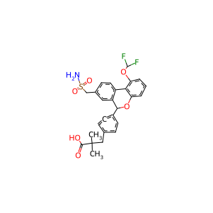 CC(C)(Cc1ccc(C2Oc3cccc(OC(F)F)c3-c3ccc(CS(N)(=O)=O)cc32)cc1)C(=O)O